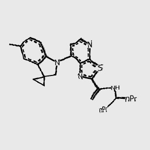 C=C(NC(CCC)CCC)c1nc2c(N3CC4(CC4)c4cc(C)ccc43)ccnc2s1